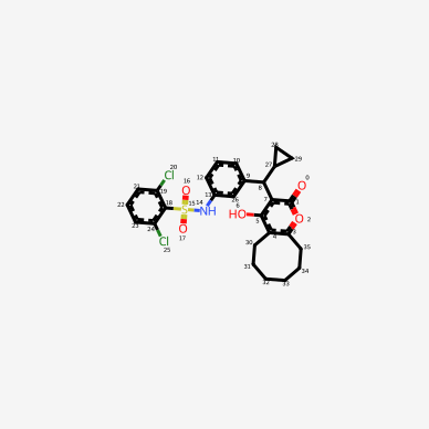 O=c1oc2c(c(O)c1C(c1cccc(NS(=O)(=O)c3c(Cl)cccc3Cl)c1)C1CC1)CCCCCC2